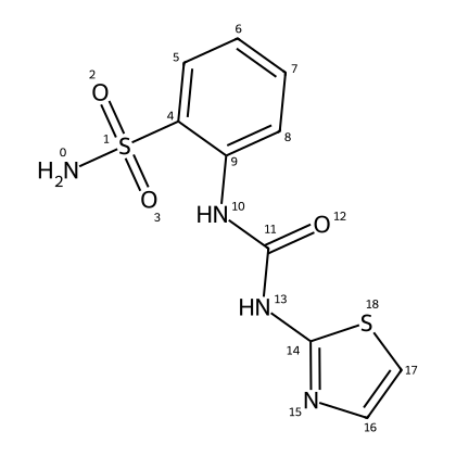 NS(=O)(=O)c1ccccc1NC(=O)Nc1nccs1